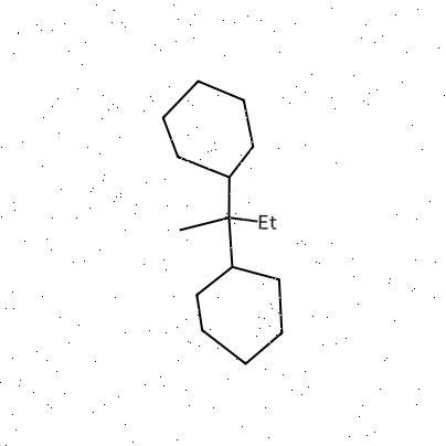 [CH2]CC(C)(C1CCCCC1)C1CCCCC1